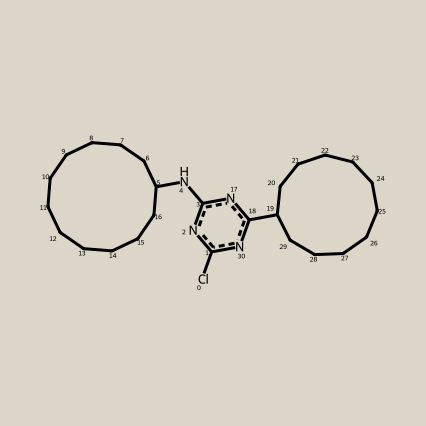 Clc1nc(NC2CCCCCCCCCCC2)nc(C2CCCCCCCCCC2)n1